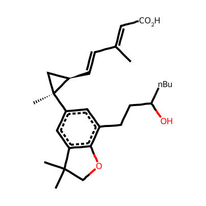 CCCCC(O)CCc1cc([C@@]2(C)C[C@H]2/C=C/C(C)=C/C(=O)O)cc2c1OCC2(C)C